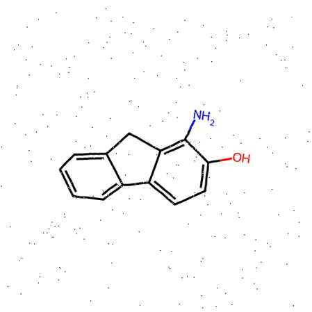 Nc1c(O)ccc2c1Cc1ccccc1-2